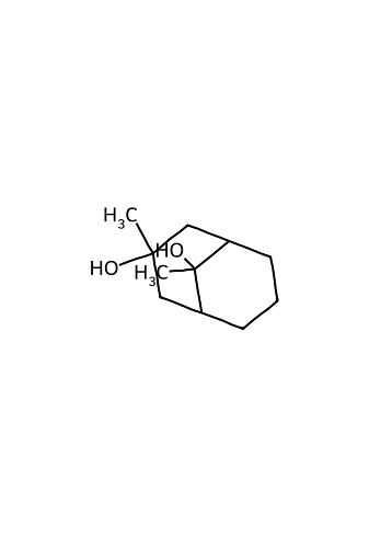 CC1(O)CC2CCCC(C1)C2(C)O